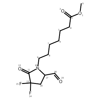 COC(=O)CCCCCCN1C(=O)C(F)(F)CC1C=O